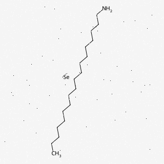 CCCCCCCCCCCCCCCCCCN.[Se]